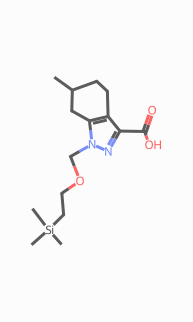 CC1CCc2c(C(=O)O)nn(COCC[Si](C)(C)C)c2C1